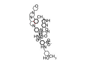 Cc1ccccc1[C@@H]1CN(C2CCOCC2)CCN1CC1CCN(c2ccc(C(=O)NS(=O)(=O)c3ccc(NCC4CCC(C)(O)CC4)c([N+](=O)[O-])c3)c(N3c4cc5cc[nH]c5nc4O[C@H]4COCC[C@@H]43)c2)CC1